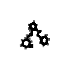 c1ccc(COc2ccccc2OC[C@H]2CCCNC2)cc1